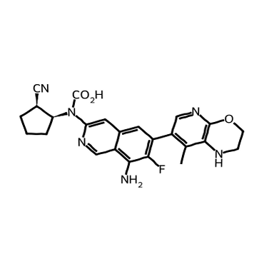 Cc1c(-c2cc3cc(N(C(=O)O)[C@H]4CCC[C@H]4C#N)ncc3c(N)c2F)cnc2c1NCCO2